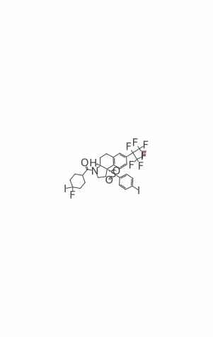 O=C(C1CCC(F)(I)CC1)N1CC[C@@]2(S(=O)(=O)c3ccc(I)cc3)c3ccc(C(F)(C(F)(F)F)C(F)(F)F)cc3CC[C@@H]12